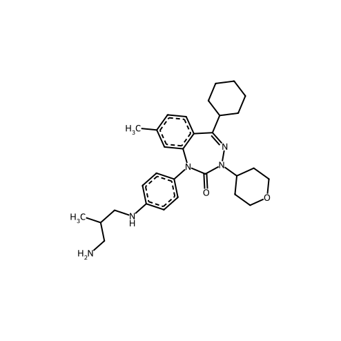 Cc1ccc2c(c1)N(c1ccc(NCC(C)CN)cc1)C(=O)N(C1CCOCC1)N=C2C1CCCCC1